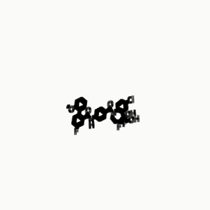 COc1ccccc1-c1ccc(F)cc1C(=O)Nc1ccc(C(=O)N2CCC(F)(F)[C@](O)(CO)c3cc(Cl)ccc32)cc1